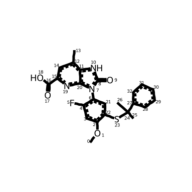 COc1cc(F)c(-n2c(=O)[nH]c3c(C)cc(C(=O)O)nc32)cc1SC(C)(C)c1ccccc1